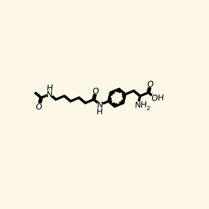 CC(=O)NCCCCCC(=O)Nc1ccc(CC(N)C(=O)O)cc1